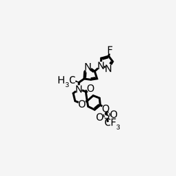 C[C@@H](c1ccc(-n2cc(F)cn2)nc1)N1CCOC2(CC=C(OS(=O)(=O)C(F)(F)F)CC2)C1=O